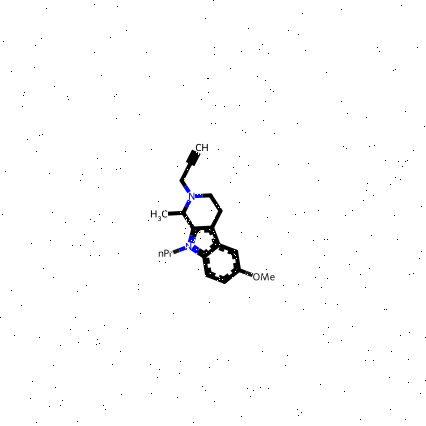 C#CCN1CCc2c(n(CCC)c3ccc(OC)cc23)C1C